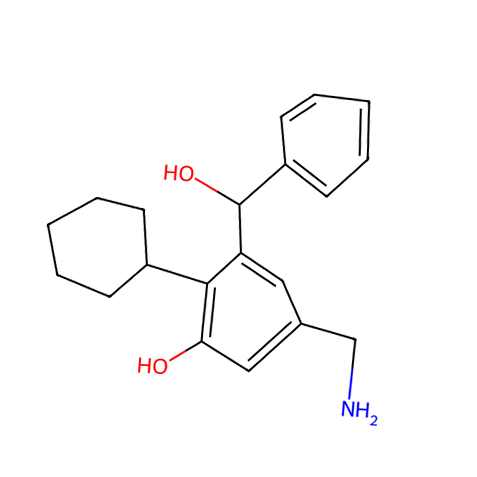 NCc1cc(O)c(C2CCCCC2)c(C(O)c2ccccc2)c1